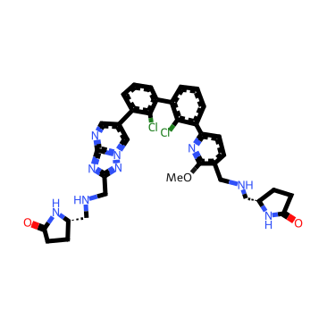 COc1nc(-c2cccc(-c3cccc(-c4cnc5nc(CNC[C@@H]6CCC(=O)N6)nn5c4)c3Cl)c2Cl)ccc1CNC[C@@H]1CCC(=O)N1